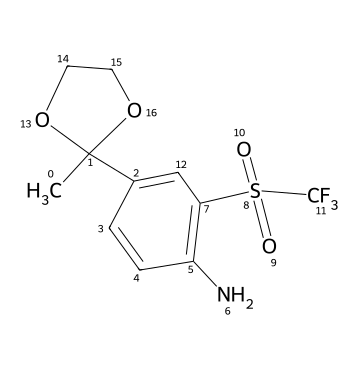 CC1(c2ccc(N)c(S(=O)(=O)C(F)(F)F)c2)OCCO1